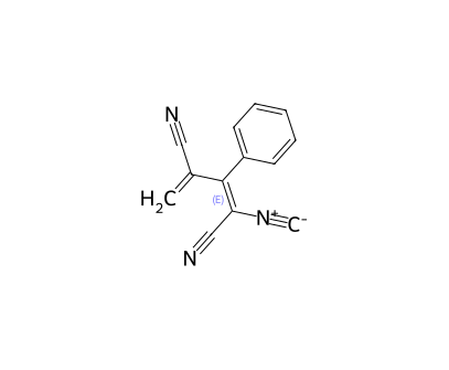 [C-]#[N+]/C(C#N)=C(/C(=C)C#N)c1ccccc1